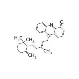 C=C1CCCC(C)(C)[C@@H]1CC/C(C)=C/Cn1c2cccc(=O)c-2nc2ccccc21